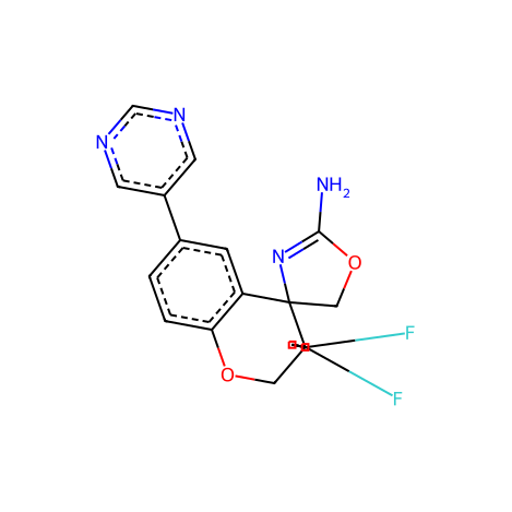 NC1=NC2(CO1)c1cc(-c3cncnc3)ccc1OCC21CC(F)(F)C1